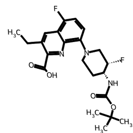 CCc1cc2c(F)ccc(N3CC[C@@H](NC(=O)OC(C)(C)C)[C@@H](F)C3)c2nc1C(=O)O